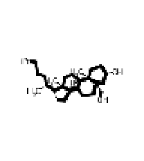 CC(C)CCC[C@@H](C)[C@H]1CCC2=C3CC[C@@]4(CO)C[C@@H](O)CC[C@]4(C)[C@H]3CC[C@@]21C